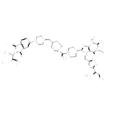 C=CC(=C)c1nnc(Cn2c(N3CCN(C(=C)N4CCC(CN5CCN(c6ccc7c(c6)C(=O)N(C(CC)C(C)=N)C7=C)CC5)CC4)CC3)nc3c2c(=O)n(C)c(=O)n3C)o1